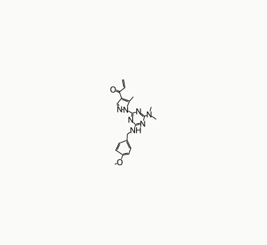 C=CC(=O)c1cnn(-c2nc(NCc3ccc(OC)cc3)nc(N(C)C)n2)c1C